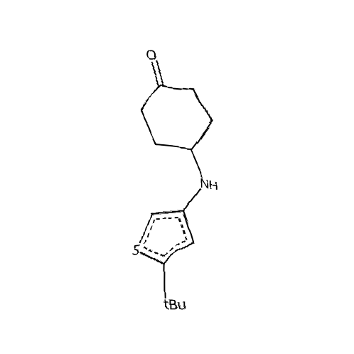 CC(C)(C)c1cc(NC2CCC(=O)CC2)cs1